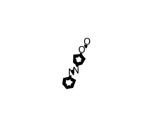 O=COc1ccc(N=Nc2ccccc2)cc1